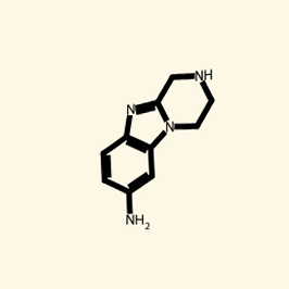 Nc1ccc2nc3n(c2c1)CCNC3